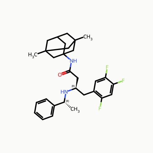 C[C@@H](N[C@@H](CC(=O)NC12CC3CC(C)(CC(C)(C3)C1)C2)Cc1cc(F)c(F)cc1F)c1ccccc1